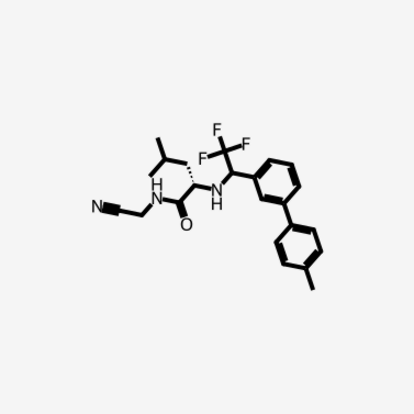 Cc1ccc(-c2cccc(C(N[C@@H](CC(C)C)C(=O)NCC#N)C(F)(F)F)c2)cc1